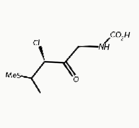 CSC(C)[C@@H](Cl)C(=O)CNC(=O)O